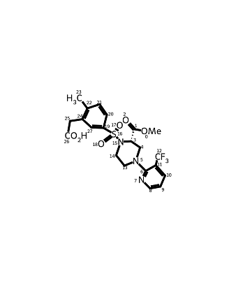 COC(=O)[C@@H]1CN(c2ncccc2C(F)(F)F)CCN1S(=O)(=O)c1ccc(C)c(CC(=O)O)c1